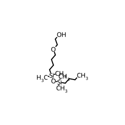 CCCC[Si](C)(C)O[Si](C)(C)CCCCOCCO